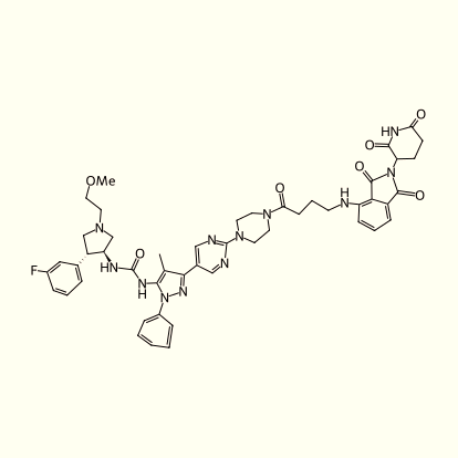 COCCN1C[C@@H](NC(=O)Nc2c(C)c(-c3cnc(N4CCN(C(=O)CCCNc5cccc6c5C(=O)N(C5CCC(=O)NC5=O)C6=O)CC4)nc3)nn2-c2ccccc2)[C@H](c2cccc(F)c2)C1